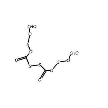 O=COSOC(=O)SSC(=O)OSOC=O